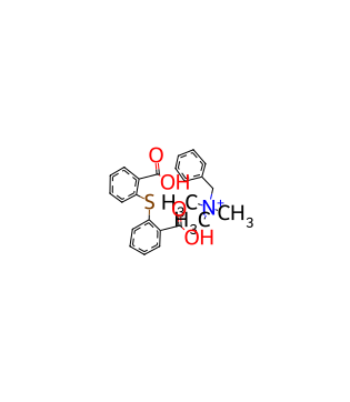 C[N+](C)(C)Cc1ccccc1.O=C(O)c1ccccc1Sc1ccccc1C(=O)O